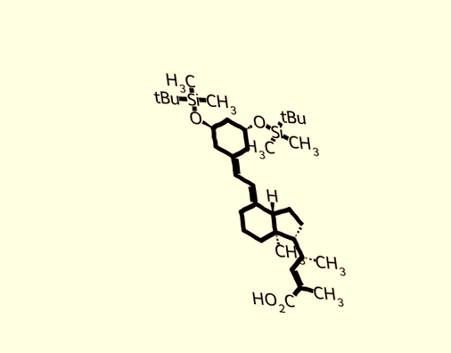 C/C(=C\[C@@H](C)[C@H]1CC[C@H]2/C(=C/C=C3C[C@@H](O[Si](C)(C)C(C)(C)C)C[C@H](O[Si](C)(C)C(C)(C)C)C3)CCC[C@]12C)C(=O)O